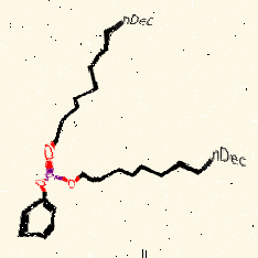 CCCCCCCCCCCCCCCCCCOP(OCCCCCCCCCCCCCCCCCC)Oc1ccccc1